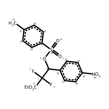 CCOC(=O)C(F)(F)C(OS(=O)(=O)c1ccc(C)cc1)c1ccc([N+](=O)[O-])cc1